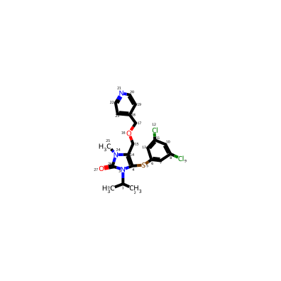 CC(C)n1c(Sc2cc(Cl)cc(Cl)c2)c(COCc2ccncc2)n(C)c1=O